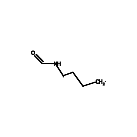 [CH2]CC[CH]NC=O